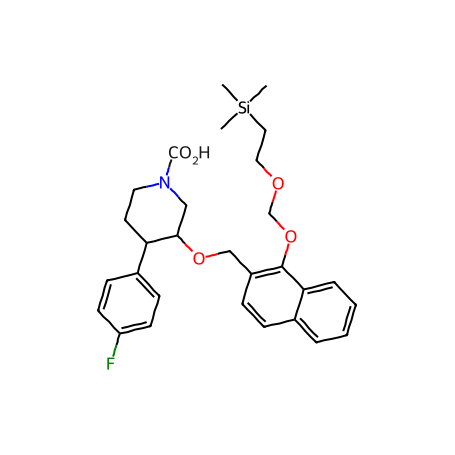 C[Si](C)(C)CCOCOc1c(COC2CN(C(=O)O)CCC2c2ccc(F)cc2)ccc2ccccc12